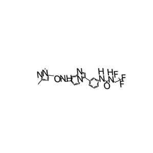 Cc1cc(CONCc2ccn3c(-c4cccc(NC(=O)NCC(F)(F)F)c4)cnc3c2)n(C)n1